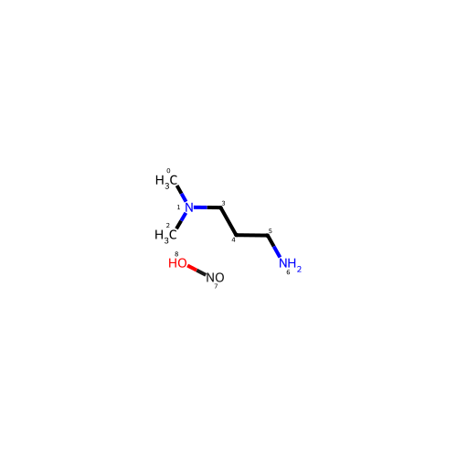 CN(C)CCCN.O=NO